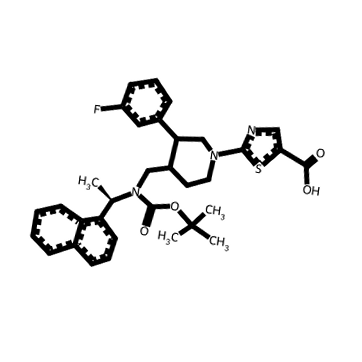 C[C@H](c1cccc2ccccc12)N(CC1CCN(c2ncc(C(=O)O)s2)CC1c1cccc(F)c1)C(=O)OC(C)(C)C